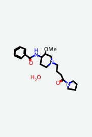 COC1CN(CCCC(=O)N2CCCC2)CCC1NC(=O)c1ccccc1.O